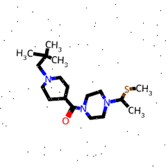 CSC(C)N1CCN(C(=O)C2CCN(CC(C)(C)C)CC2)CC1